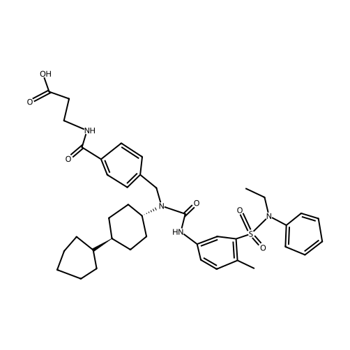 CCN(c1ccccc1)S(=O)(=O)c1cc(NC(=O)N(Cc2ccc(C(=O)NCCC(=O)O)cc2)[C@H]2CC[C@H](C3CCCCC3)CC2)ccc1C